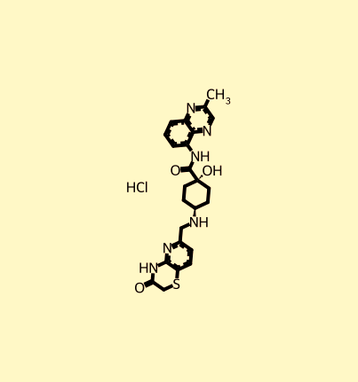 Cc1cnc2c(NC(=O)[C@]3(O)CC[C@H](NCc4ccc5c(n4)NC(=O)CS5)CC3)cccc2n1.Cl